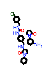 Nc1cccc(N2CCCC2=O)c1.O=C(NCc1ccc(Cl)cc1)Nc1ccc(CNC2CCN(c3ccccc3)C2=O)cc1